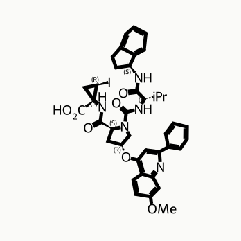 COc1ccc2c(O[C@@H]3C[C@@H](C(=O)N[C@]4(C(=O)O)C[C@H]4I)N(C(=O)N[C@H](C(=O)N[C@H]4CCc5ccccc54)C(C)C)C3)cc(-c3ccccc3)nc2c1